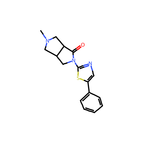 CN1CC2CN(c3ncc(-c4ccccc4)s3)C(=O)C2C1